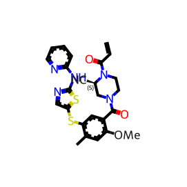 C=CC(=O)N1CCN(C(=O)c2cc(Sc3cnc(Nc4ccccn4)s3)c(C)cc2OC)C[C@H]1C#N